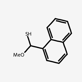 COC(S)c1cccc2ccccc12